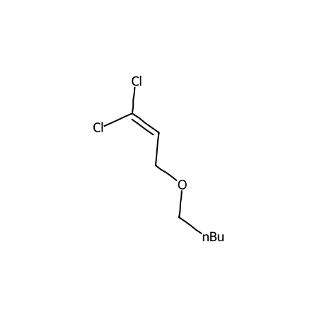 CCCCCOCC=C(Cl)Cl